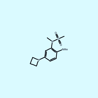 CNc1ccc(N2CCC2)cc1N(C)S(C)(=O)=O